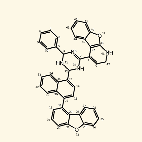 C1=C(C2=NC(c3ccccc3)NC(c3ccc(-c4cccc5oc6ccccc6c45)c4ccccc34)N2)c2c(oc3ccccc23)NC1